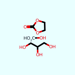 O=C(O)O.O=C1OCCO1.OCC(O)CO